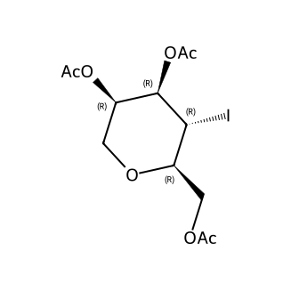 CC(=O)OC[C@H]1OC[C@@H](OC(C)=O)[C@@H](OC(C)=O)[C@@H]1I